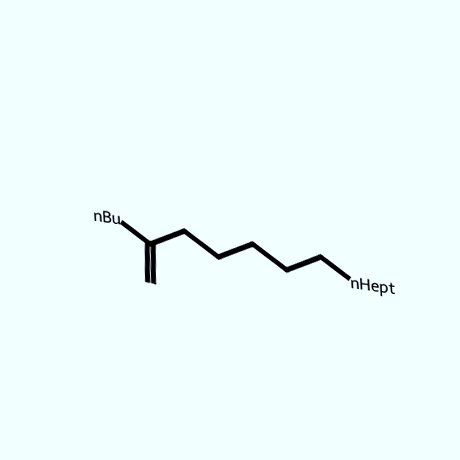 [CH]=C(CCCC)CCCCCCCCCCCC